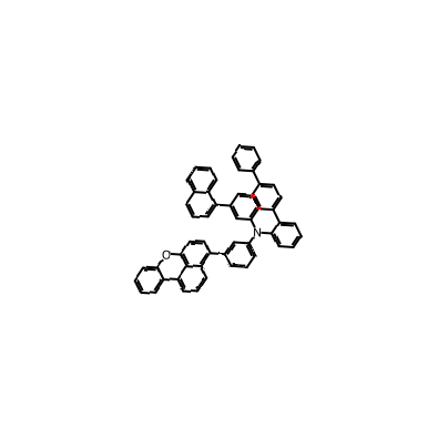 c1ccc(-c2ccc(-c3ccccc3N(c3cccc(-c4cccc5ccccc45)c3)c3cccc(-c4ccc5c6c(cccc46)-c4ccccc4O5)c3)cc2)cc1